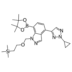 CC1(C)OB(c2ccc(-c3cnn(C4CC4)n3)c3cnn(COCC[Si](C)(C)C)c23)OC1(C)C